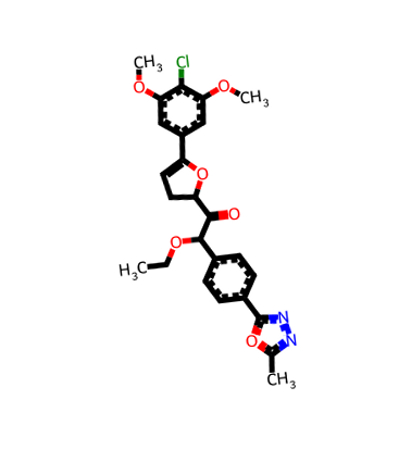 CCOC(C(=O)C1CC=C(c2cc(OC)c(Cl)c(OC)c2)O1)c1ccc(-c2nnc(C)o2)cc1